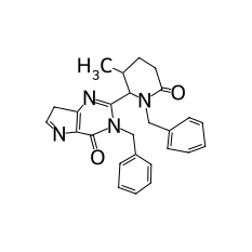 CC1CCC(=O)N(Cc2ccccc2)C1c1nc2c(c(=O)n1Cc1ccccc1)N=CC2